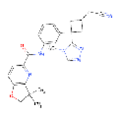 Cn1cnnc1C1(c2cccc(NC(=O)c3ccc4c(n3)C(C)(C)CO4)c2)CC(CC#N)C1